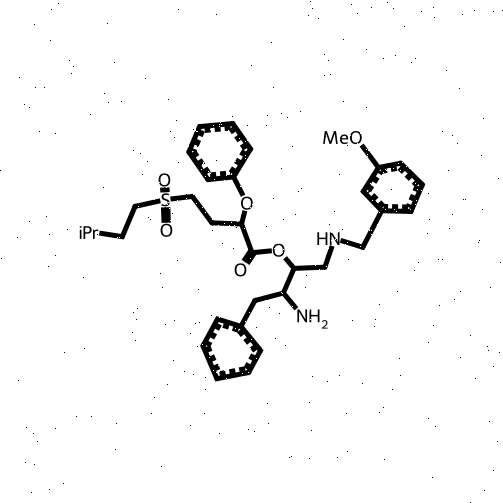 COc1cccc(CNCC(OC(=O)C(CCS(=O)(=O)CCC(C)C)Oc2ccccc2)C(N)Cc2ccccc2)c1